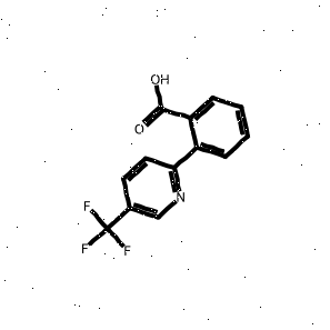 O=C(O)c1ccccc1-c1ccc(C(F)(F)F)cn1